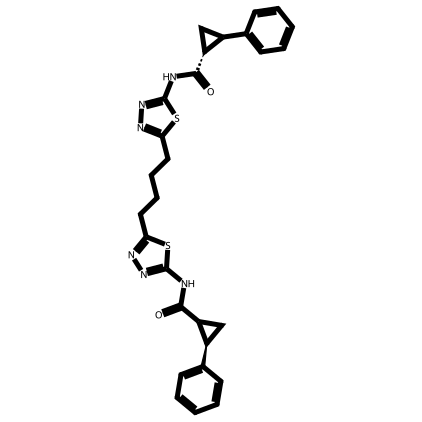 O=C(Nc1nnc(CCCCc2nnc(NC(=O)[C@@H]3CC3c3ccccc3)s2)s1)C1C[C@H]1c1ccccc1